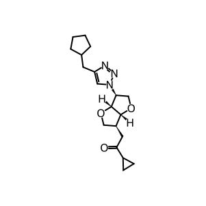 O=C(C[C@H]1CO[C@H]2[C@@H]1OC[C@@H]2n1cc(CC2CCCC2)nn1)C1CC1